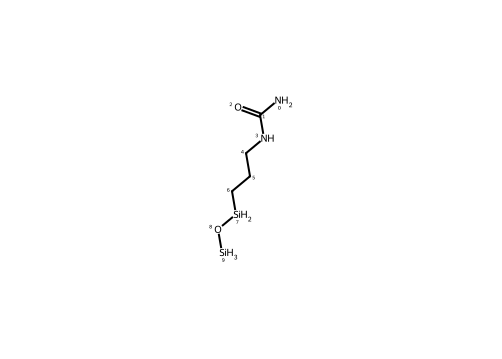 NC(=O)NCCC[SiH2]O[SiH3]